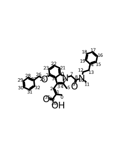 CC(=Cc1c(C)n(CC(=O)N(C)CCc2ccccc2)c2cccc(OCc3ccccc3)c12)C(=O)O